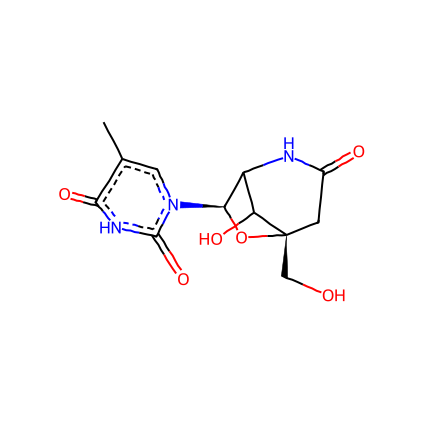 Cc1cn([C@@H]2O[C@@]3(CO)CC(=O)NC2C3O)c(=O)[nH]c1=O